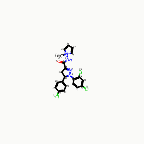 C[N+]1(NC(=O)C2=NN(c3ccc(Cl)cc3Cl)C(c3ccc(Cl)cc3)C2)C=CC=C1